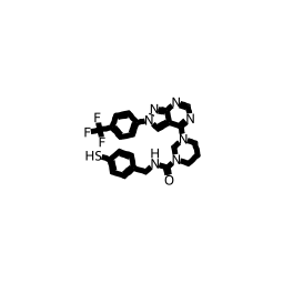 O=C(NCc1ccc(S)cc1)N1CCCN(c2ncnc3nn(-c4ccc(C(F)(F)F)cc4)cc23)C1